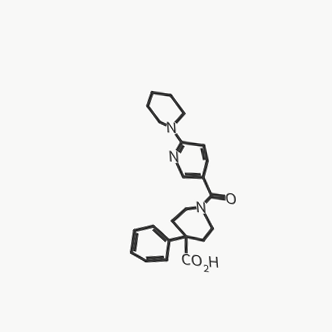 O=C(c1ccc(N2CCCCC2)nc1)N1CCC(C(=O)O)(c2ccccc2)CC1